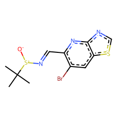 CC(C)(C)[S+]([O-])/N=C/c1nc2ncsc2cc1Br